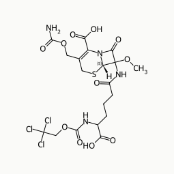 COC1(NC(=O)CCCC(NC(=O)OCC(Cl)(Cl)Cl)C(=O)O)C(=O)N2C(C(=O)O)=C(COC(N)=O)CS[C@H]21